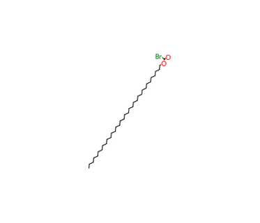 CCCCCCCCCCCCCCCCCCCCCCCCCCCCCCCCCCOC(=O)Br